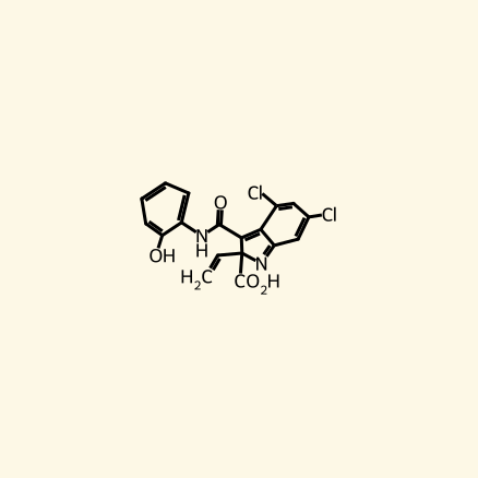 C=CC1(C(=O)O)N=c2cc(Cl)cc(Cl)c2=C1C(=O)Nc1ccccc1O